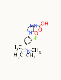 CC(C)C(c1ccc(N2CC[C@H](NC(=O)O)C2=O)c(F)c1)N(C)C